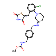 CC(C)(C)OC(=O)NCc1ccc(CN[C@@H]2CCCN(c3c(Cl)cccc3/C=C3\SC(=O)NC3=O)C2)cc1